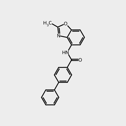 Cc1nc2c(NC(=O)c3ccc(-c4ccccc4)cc3)cccc2o1